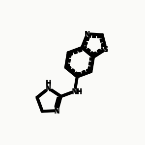 c1nc2ccc(NC3=NCCN3)cc2s1